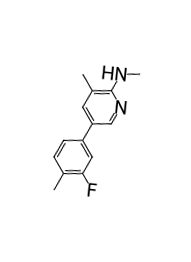 CNc1ncc(-c2ccc(C)c(F)c2)cc1C